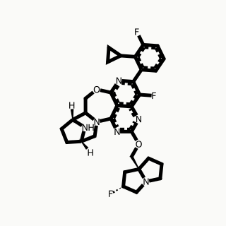 Fc1cccc(-c2nc3c4c(nc(OC[C@@]56CCCN5C[C@H](F)C6)nc4c2F)N2C[C@@H]4CC[C@@H](N4)C2CO3)c1C1CC1